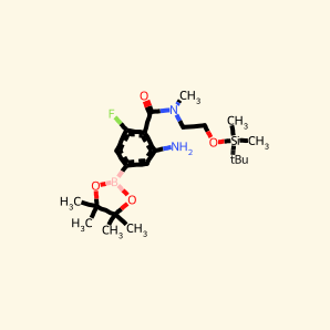 CN(CCO[Si](C)(C)C(C)(C)C)C(=O)c1c(N)cc(B2OC(C)(C)C(C)(C)O2)cc1F